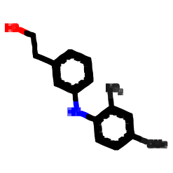 COc1ccc(Nc2cccc(CCO)c2)c([N+](=O)[O-])c1